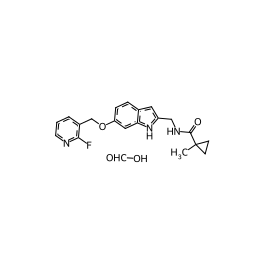 CC1(C(=O)NCc2cc3ccc(OCc4cccnc4F)cc3[nH]2)CC1.O=CO